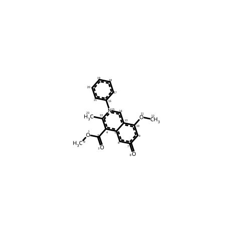 COC(=O)c1c2cc(=O)cc(OC)c-2cn(-c2ccccc2)c1C